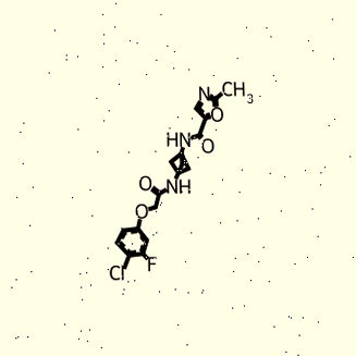 Cc1ncc(C(=O)NC23CC(NC(=O)COc4ccc(Cl)c(F)c4)(C2)C3)o1